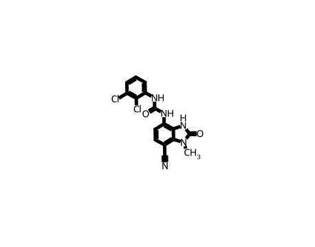 Cn1c(=O)[nH]c2c(NC(=O)Nc3cccc(Cl)c3Cl)ccc(C#N)c21